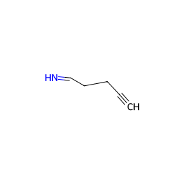 C#CCCC=N